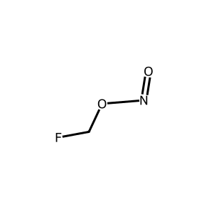 O=NOCF